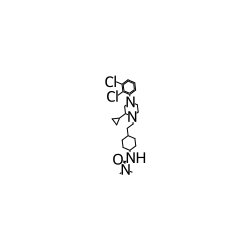 CN(C)C(=O)NC1CCC(CCN2CCN(c3cccc(Cl)c3Cl)CC2C2CC2)CC1